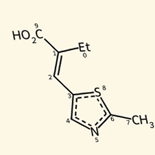 CC/C(=C\c1cnc(C)s1)C(=O)O